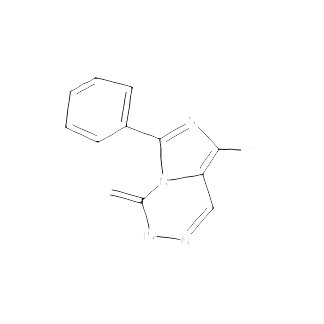 CC(C)c1nc(-c2ccccc2)n2c(=S)[nH]ncc12